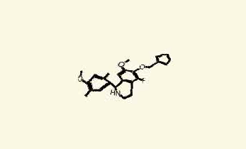 COc1cc(C)c(C2NCCc3c2cc(OC)c(OCc2ccccc2)c3F)cc1C